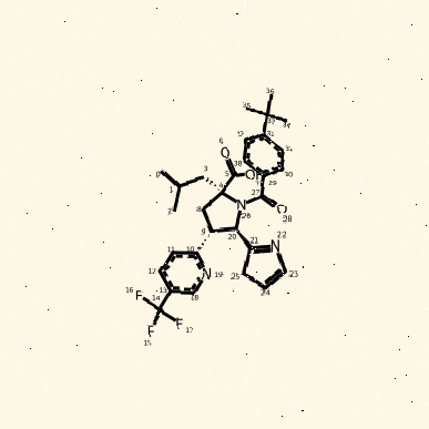 CC(C)C[C@@]1(C(=O)O)C[C@@H](c2ccc(C(F)(F)F)cn2)[C@H](C2=NC=CC2)N1C(=O)c1ccc(C(C)(C)C)cc1